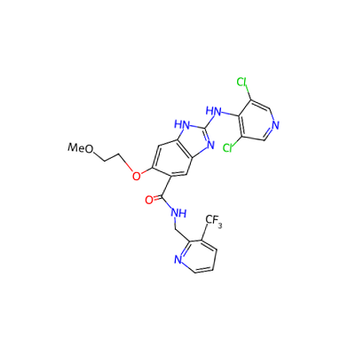 COCCOc1cc2[nH]c(Nc3c(Cl)cncc3Cl)nc2cc1C(=O)NCc1ncccc1C(F)(F)F